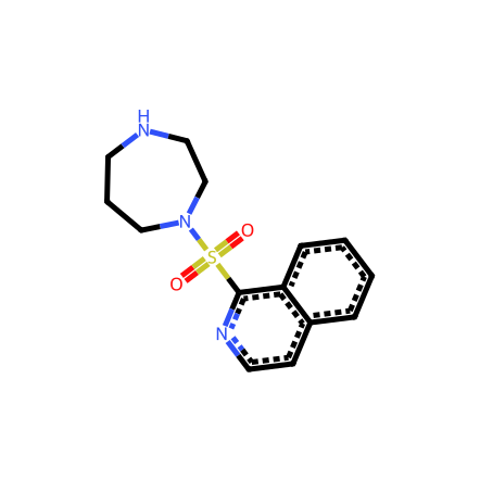 O=S(=O)(c1nccc2ccccc12)N1CCCNCC1